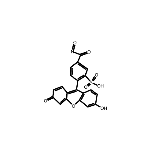 O=NC(=O)c1ccc(-c2c3ccc(=O)cc-3oc3cc(O)ccc23)c(S(=O)(=O)O)c1